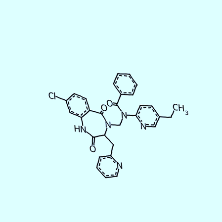 CCc1ccc(N(CN2C(=O)c3ccc(Cl)cc3NC(=O)C2Cc2ccccn2)C(=O)c2ccccc2)nc1